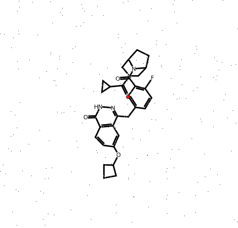 O=C(C1CC1)N1CC2CCC(C1)N2C(=O)c1cc(Cc2n[nH]c(=O)c3ccc(OC4CCC4)cc23)ccc1F